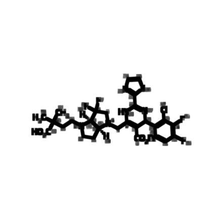 CCOC(=O)C1=C(CN2CC(F)(F)[C@H]3[C@@H]2CCN3CCC(C)(C)C(=O)O)NC(c2nccs2)=NC1c1ccc(F)c(F)c1Cl